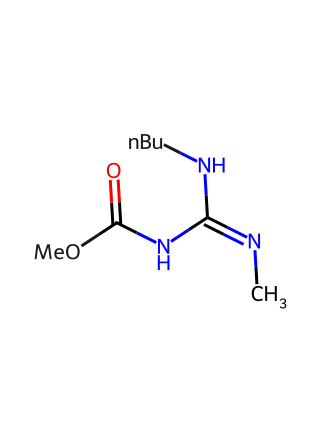 CCCCN/C(=N/C)NC(=O)OC